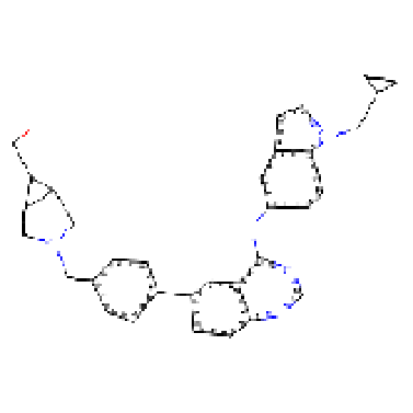 OCC1C2CN(Cc3ccc(-c4ccc5ncnc(Nc6ccc7c(ccn7CC7CC7)c6)c5c4)cc3)CC12